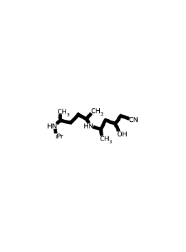 CC(C)NC(C)CCC(C)NC(C)CC(O)CC#N